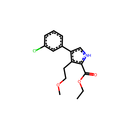 CCOC(=O)c1[nH]cc(-c2cccc(Cl)c2)c1CCOC